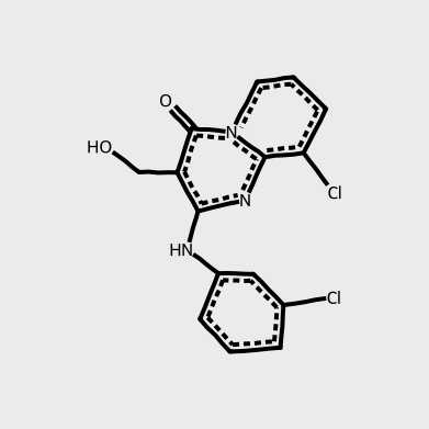 O=c1c(CO)c(Nc2cccc(Cl)c2)nc2c(Cl)cccn12